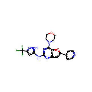 FC(F)(F)c1cc(Nc2nc(N3CCOCC3)c3oc(-c4ccncc4)cc3n2)[nH]n1